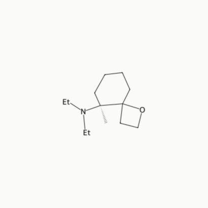 CCN(CC)[C@@]1(C)CCCCC12CCO2